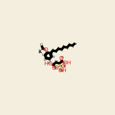 CCCCCCCCCc1ccccc1O[CH](C)[K].O=C(O)CC(C(=O)O)S(=O)(=O)O